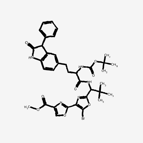 COC(=O)c1coc(-c2nc(C(NC(=O)C(CCc3ccc4c(c3)C(c3ccccc3)C(=O)N4)NC(=O)OC(C)(C)C)C(C)(C)C)oc2Br)n1